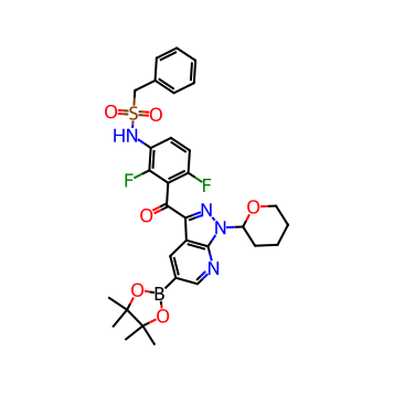 CC1(C)OB(c2cnc3c(c2)c(C(=O)c2c(F)ccc(NS(=O)(=O)Cc4ccccc4)c2F)nn3C2CCCCO2)OC1(C)C